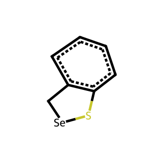 c1ccc2c(c1)C[Se]S2